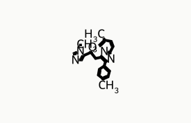 Cc1ccc(-c2nc3ccc(C)cn3c2CC(=O)c2cncn2C)cc1